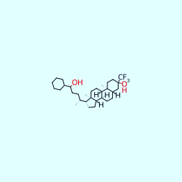 C[C@H](CCC(O)C1CCCCC1)[C@H]1CC[C@H]2[C@@H]3CC[C@H]4C[C@](O)(C(F)(F)F)CC[C@]4(C)[C@H]3CC[C@]12C